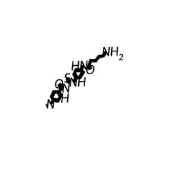 CN(C)c1ccc(C(=O)NC(=S)Nc2ccc(NC(=O)CCCCN)cc2)cc1